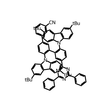 CC(C)(C)c1ccc2c(c1)c1cc(C(C)(C)C)ccc1n2-c1ccc(-c2cccc(C#N)c2)cc1-c1cc(-c2nc(-c3ccccc3)nc(-c3ccccc3)n2)ccc1-n1c2ccc(C(C)(C)C)cc2c2cc(C(C)(C)C)ccc21